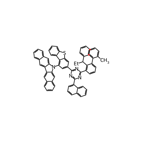 CCC(c1ccccc1)c1c(-c2nc(-c3cc(-n4c5cc6ccccc6cc5c5cc6ccccc6cc54)c4c(c3)sc3ccccc34)nc(-c3cccc4ccccc34)n2)cccc1-c1ccccc1C